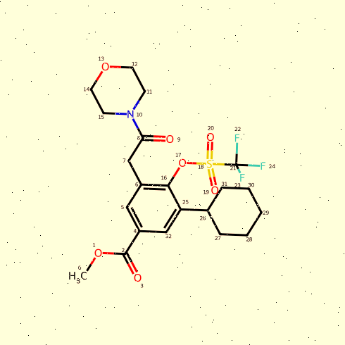 COC(=O)c1cc(CC(=O)N2CCOCC2)c(OS(=O)(=O)C(F)(F)F)c(C2CCCCC2)c1